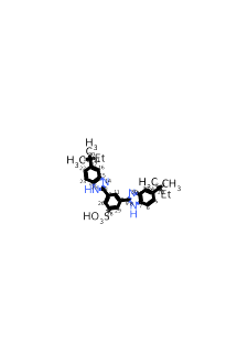 CCC(C)(C)c1ccc2[nH]c(-c3cc(-c4nc5cc(C(C)(C)CC)ccc5[nH]4)cc(S(=O)(=O)O)c3)nc2c1